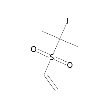 C=CS(=O)(=O)C(C)(C)I